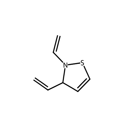 C=CC1C=CSN1C=C